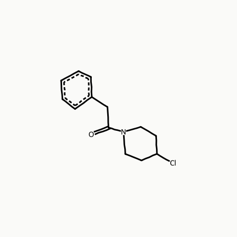 O=C(Cc1ccccc1)N1CCC(Cl)CC1